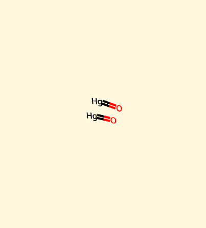 [O]=[Hg].[O]=[Hg]